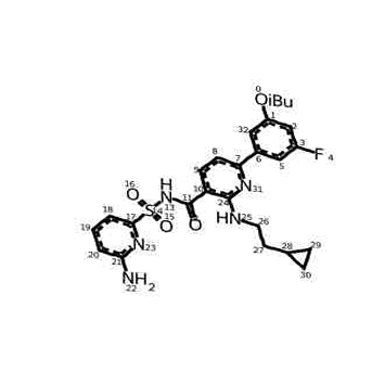 CC(C)COc1cc(F)cc(-c2ccc(C(=O)NS(=O)(=O)c3cccc(N)n3)c(NCCC3CC3)n2)c1